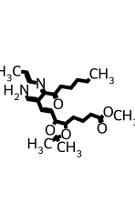 C/C=C/N=C(C(=O)CCCCC)\C(=C/N)\C=C\C1OC(C)(C)OC1CCCC(=O)OC